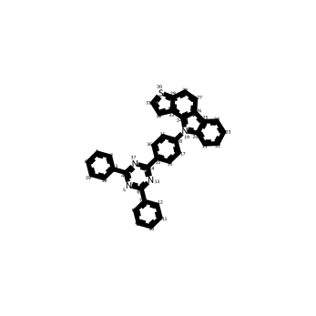 c1ccc(-c2nc(-c3ccccc3)nc(-c3ccc(-n4c5ccccc5c5ccc6sccc6c54)cc3)n2)cc1